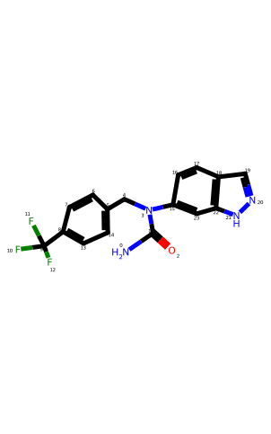 NC(=O)N(Cc1ccc(C(F)(F)F)cc1)c1ccc2cn[nH]c2c1